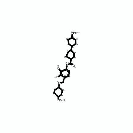 CCCCCC1CCC(OCc2ccc(OC(=O)C3CCC(C4CCC(CCCCC)CC4)CC3)c(F)c2F)CC1